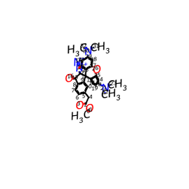 COC(=O)Cc1ccc2c(c1)C1(C(=[N+]=[N-])C2=O)c2ccc(N(C)C)cc2Oc2cc(N(C)C)ccc21